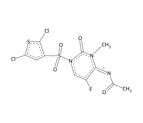 CC(=O)/N=c1\c(F)cn(S(=O)(=O)c2cc(Cl)sc2Cl)c(=O)n1C